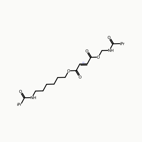 CC(C)C(=O)NCCCCCCOC(=O)/C=C/C(=O)OCNC(=O)C(C)C